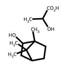 CC(O)C(=O)O.CC1(C)C2CCC1(C)C(O)C2